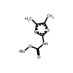 [CH2]c1nc(NC(=O)OC(C)(C)C)sc1C